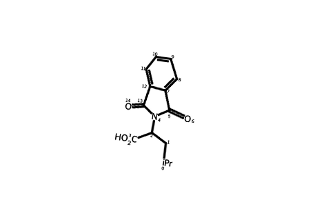 CC(C)CC(C(=O)O)N1C(=O)c2ccccc2C1=O